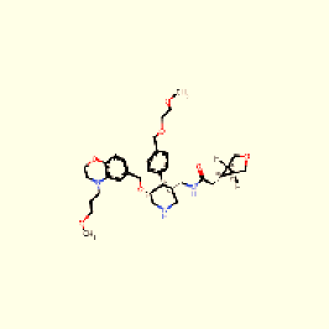 COCCCN1CCOc2ccc(CO[C@H]3CNC[C@@H](CNC(=O)C[C@@H]4[C@@H]5COC[C@@H]54)[C@@H]3c3ccc(COCCOC)cc3)cc21